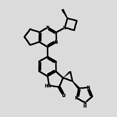 C[C@H]1CCN1c1nc2c(c(-c3ccc4c(c3)[C@]3(C[C@H]3c3nc[nH]n3)C(=O)N4)n1)CCC2